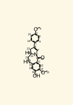 COc1ccc(C2=CN3C(=O)c4cc(OC)c(O)cc4NC[C@@H]3C2)cc1